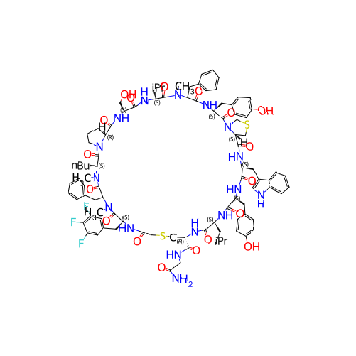 CCCC[C@H]1C(=O)N2CCC[C@@H]2C(=O)N[C@@H](CO)C(=O)N[C@@H](C(C)C)C(=O)N(C)C(Cc2ccccc2)C(=O)N[C@@H](Cc2ccc(O)cc2)C(=O)N2CSC[C@@H]2C(=O)N[C@@H](Cc2c[nH]c3ccccc23)C(=O)N[C@@H](Cc2ccc(O)cc2)C(=O)N[C@@H](CC(C)C)C(=O)N[C@H](C(=O)NCC(N)=O)CSCC(=O)N[C@@H](Cc2cc(F)c(F)c(F)c2)C(=O)N(C)C(Cc2ccccc2)C(=O)N1C